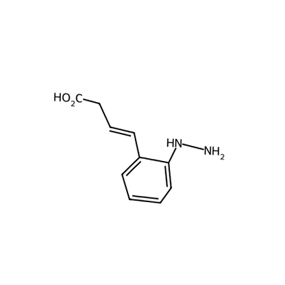 NNc1ccccc1C=CCC(=O)O